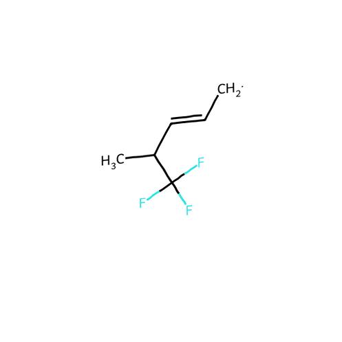 [CH2]/C=C/C(C)C(F)(F)F